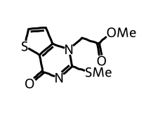 COC(=O)Cn1c(SC)nc(=O)c2sccc21